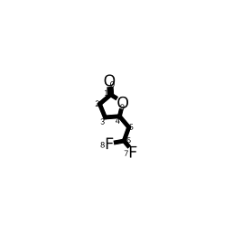 O=C1CCC(CC(F)F)O1